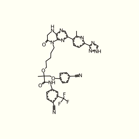 Cc1nc(-c2nc[nH]n2)ccc1-c1cnc2c(n1)N(CCCCCOC(C)(COc1ccc(C#N)cc1)C(=O)Nc1ccc(C#N)c(C(F)(F)F)c1)C(=O)CN2